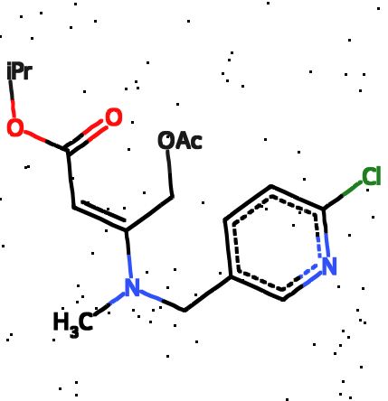 CC(=O)OC/C(=C\C(=O)OC(C)C)N(C)Cc1ccc(Cl)nc1